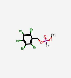 CCOP(=O)(CC)OCc1c(Br)c(Br)c(Br)c(Br)c1Br